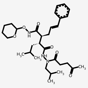 CC(=O)CCC(=O)N(CC(C)C)NC(=O)[C@H](CC(C)C)[C@H](CC=Cc1ccccc1)C(=O)NOC1CCCCO1